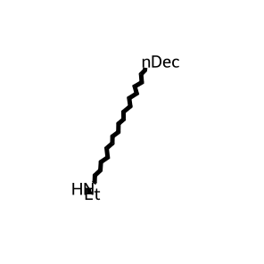 CCCCCCCCCCCCCCCCCCCCCCCCCCCCCNCC